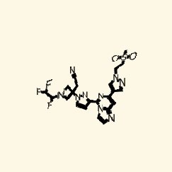 CS(=O)(=O)CCn1cc(-c2cc3nccn3c(-c3ccn(C4(CC#N)CN(C(F)C(F)F)C4)n3)n2)cn1